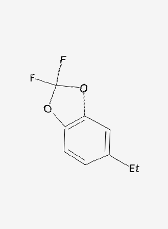 [CH2+][CH-]c1ccc2c(c1)OC(F)(F)O2